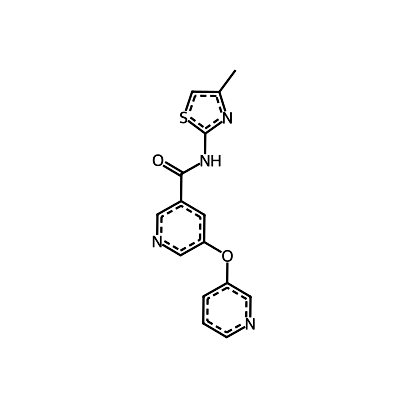 Cc1csc(NC(=O)c2cncc(Oc3cccnc3)c2)n1